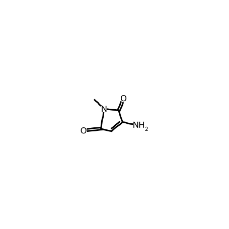 CN1C(=O)C=C(N)C1=O